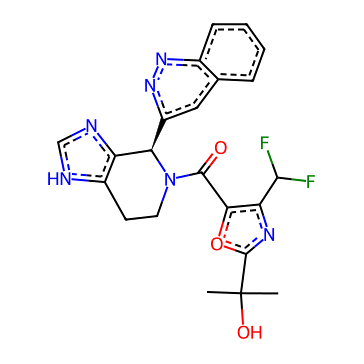 CC(C)(O)c1nc(C(F)F)c(C(=O)N2CCc3[nH]cnc3[C@H]2c2cc3ccccc3nn2)o1